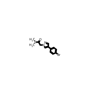 CN(C)C(=O)Cn1cc(-c2ccc(Br)cc2)cn1